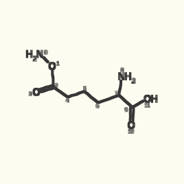 NOC(=O)CCCC(N)C(=O)O